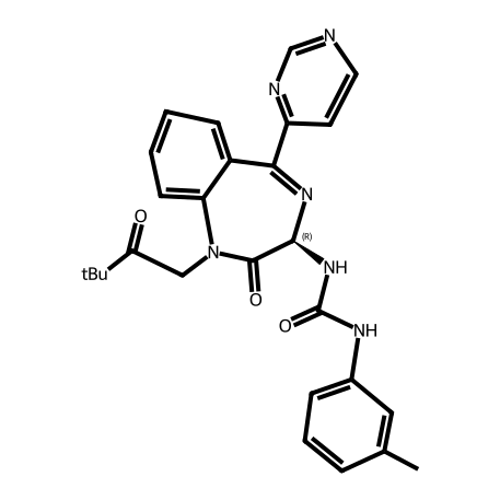 Cc1cccc(NC(=O)N[C@@H]2N=C(c3ccncn3)c3ccccc3N(CC(=O)C(C)(C)C)C2=O)c1